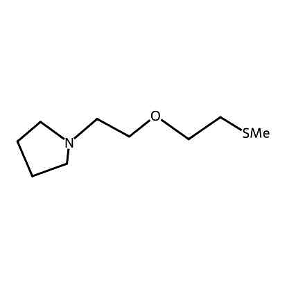 CSCCOCCN1CCCC1